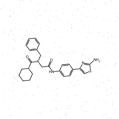 Nc1nc(-c2ccc(NC(=O)CN(Cc3ccccc3)C(=O)C3CCCCC3)cc2)cs1